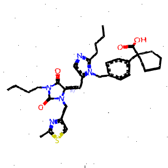 CCCCc1ncc(/C=C2\C(=O)N(CCCC)C(=O)N2Cc2csc(C)n2)n1Cc1ccc(C2(C(=O)O)CCCC2)cc1